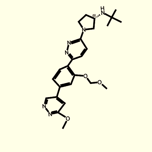 COCOc1cc(-c2cnnc(OC)c2)ccc1-c1ccc(N2CC[C@H](NC(C)(C)C)C2)nn1